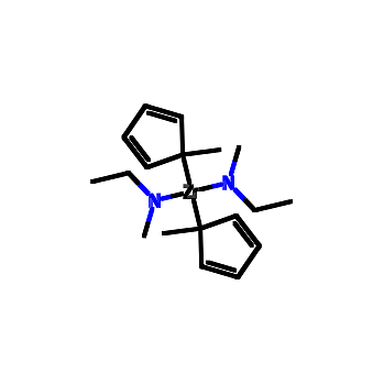 CC[N](C)[Zr]([N](C)CC)([C]1(C)C=CC=C1)[C]1(C)C=CC=C1